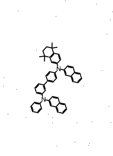 CC1(C)CCC(C)(C)c2cc(N(c3ccc(-c4cccc(N(c5ccccc5)c5ccc6ccccc6c5)c4)cc3)c3ccc4ccccc4c3)ccc21